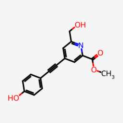 COC(=O)c1cc(C#Cc2ccc(O)cc2)cc(CO)n1